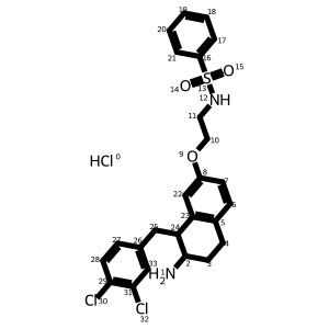 Cl.NC1CCc2ccc(OCCNS(=O)(=O)c3ccccc3)cc2C1Cc1ccc(Cl)c(Cl)c1